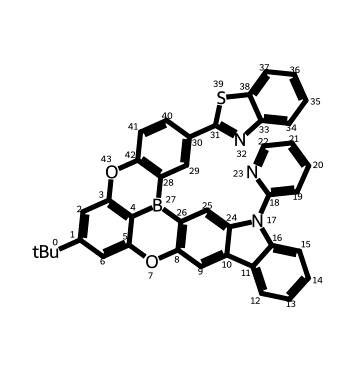 CC(C)(C)c1cc2c3c(c1)Oc1cc4c5ccccc5n(-c5ccccn5)c4cc1B3c1cc(-c3nc4ccccc4s3)ccc1O2